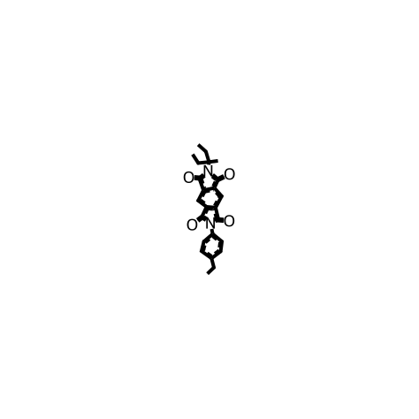 CCc1ccc(-n2c(=O)c3cc4c(=O)n(C(C)(CC)CC)c(=O)c4cc3c2=O)cc1